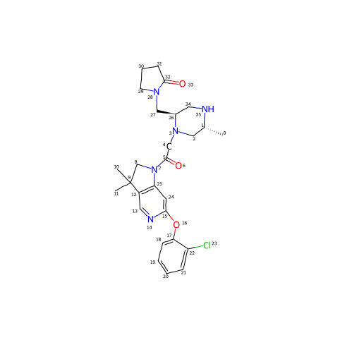 C[C@@H]1CN(CC(=O)N2CC(C)(C)c3cnc(Oc4ccccc4Cl)cc32)[C@@H](CN2CCCC2=O)CN1